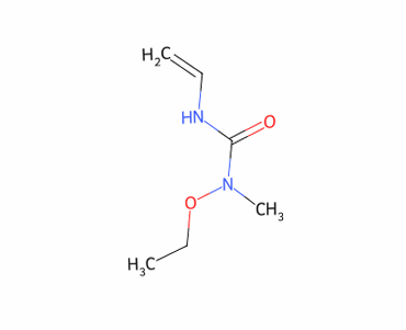 C=CNC(=O)N(C)OCC